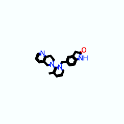 CC1=C(N2CCc3ncccc3C2)N(Cc2ccc3c(c2)CC(=O)N3)CC=C1